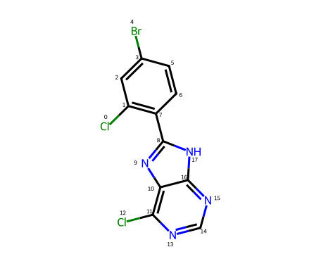 Clc1cc(Br)ccc1-c1nc2c(Cl)ncnc2[nH]1